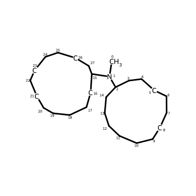 CN(C1CCCCCCCCCCCC1)C1CCCCCCCCCCCC1